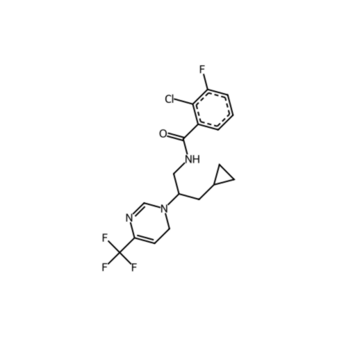 O=C(NCC(CC1CC1)N1C=NC(C(F)(F)F)=CC1)c1cccc(F)c1Cl